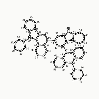 c1ccc(-c2c3ccccc3c(-c3cc(-c4cc5c6ccccc6n(-c6ccccc6)c5c5ccccc45)cc4oc5ccccc5c34)c3ccccc23)cc1